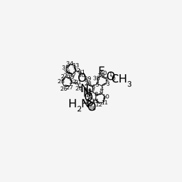 COc1ccc(-c2c(-c3ccccc3S(N)(=O)=O)nn(CCc3ccccc3)c2COCc2ccccc2)cc1F